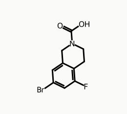 O=C(O)N1CCc2c(F)cc(Br)cc2C1